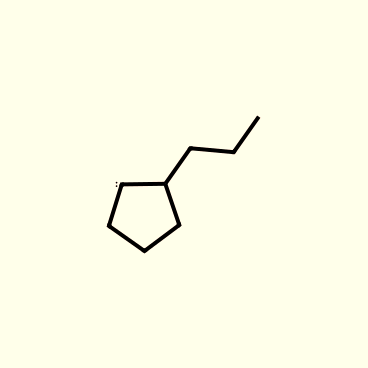 CCCC1[C]CCC1